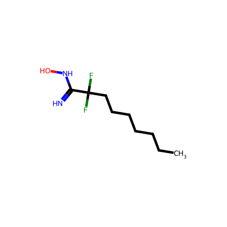 CCCCCCCC(F)(F)C(=N)NO